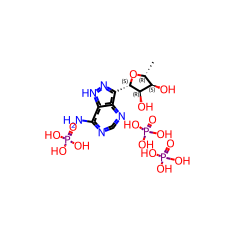 C[C@H]1O[C@@H](c2n[nH]c3c(N)ncnc23)[C@H](O)[C@@H]1O.O=P(O)(O)O.O=P(O)(O)O.O=P(O)(O)O